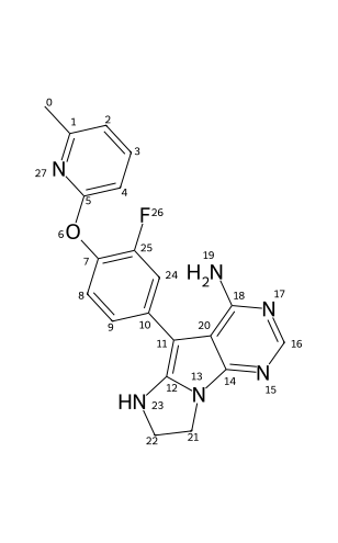 Cc1cccc(Oc2ccc(-c3c4n(c5ncnc(N)c35)CCN4)cc2F)n1